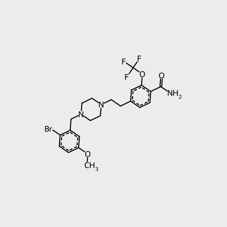 COc1ccc(Br)c(CN2CCN(CCc3ccc(C(N)=O)c(OC(F)(F)F)c3)CC2)c1